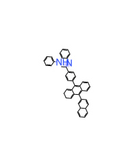 C/C(=N\c1ccccc1Nc1ccccc1)c1ccc(-c2c3c(c(C4=CC5C=CC=CC5C=C4)c4ccccc24)=CCCC=3)cc1